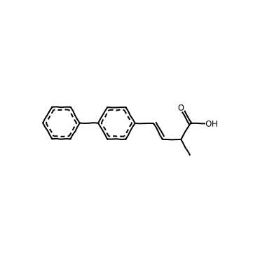 CC(C=Cc1ccc(-c2ccccc2)cc1)C(=O)O